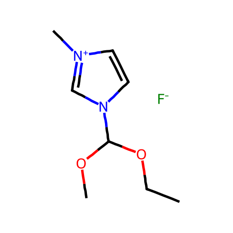 CCOC(OC)n1cc[n+](C)c1.[F-]